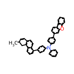 CC1C=Cc2ccc3c(-c4ccc(N(c5ccccc5)c5ccc(-c6ccc7c(c6)oc6ccccc67)cc5)cc4)cccc3c2C1